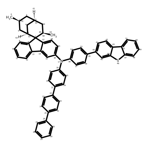 C[C@H]1C[C@@H]2C[C@H](C1)C1(c3ccccc3-c3cc(N(c4ccc(-c5ccc(-c6ccccc6)cc5)cc4)c4ccc(-c5ccc6c(c5)sc5ccccc56)cc4)ccc31)[C@H](C)C2